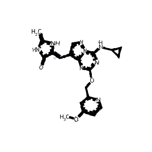 C=c1[nH]c(=O)/c(=C/c2cnn3c(NC4CC4)nc(OCc4cc(OC)ccn4)nc23)[nH]1